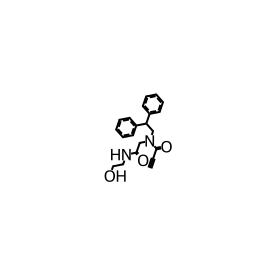 C#CC(=O)N(CC(=O)NCCO)CC(c1ccccc1)c1ccccc1